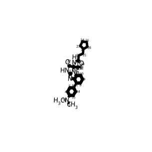 CN(C)c1ccc(-c2cccc3c2nc2n3C(NC(=O)CCC3CCCC3)(C(F)(F)F)C(=O)N2)cc1